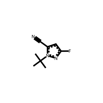 CC(C)(C)n1nc(F)cc1C#N